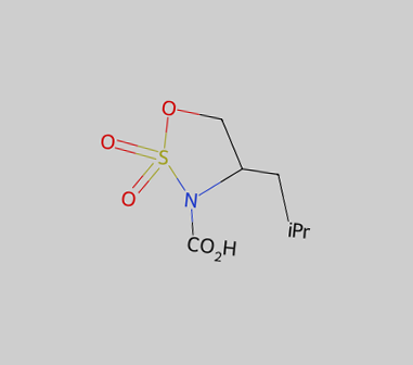 CC(C)CC1COS(=O)(=O)N1C(=O)O